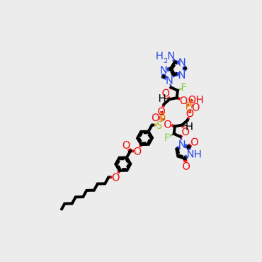 CCCCCCCCCCOc1ccc(C(=O)Oc2ccc(CSP3(=O)OC[C@H]4O[C@@H](n5cnc6c(N)ncnc65)[C@@H](F)C4OP(=O)(O)OC[C@H]4O[C@@H](n5ccc(=O)[nH]c5=O)[C@@H](F)C4O3)cc2)cc1